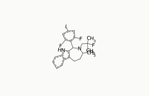 CC1CCc2c([nH]c3ccccc23)C(c2c(F)cc(I)cc2F)N1CC(C)(C)F